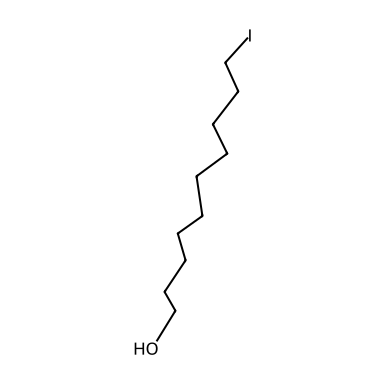 OCCCCCCCCCCI